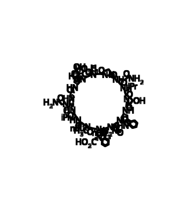 CCCC[C@H]1C(=O)N(C)[C@@H](CCCC)C(=O)N[C@@H](CC(C)C)C(=O)N[C@H](C(=O)NCC(N)=O)CNCC(=O)N[C@@H](Cc2ccc(O)cc2)C(=O)N(C)[C@@H](C)C(=O)N[C@@H](CC(=O)O)C(=O)N2CCC[C@H]2C(=O)N[C@@H](CCC(N)=O)C(=O)N[C@@H](CC(C)C)C(=O)N2C[C@H](O)C[C@H]2C(=O)N[C@@H](Cc2c[nH]c3ccccc23)C(=O)N[C@@H](CC(N)=O)C(=O)N[C@@H](Cc2cn(CC(=O)O)c3ccccc23)C(=O)N1C